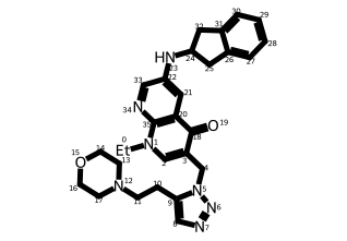 CCn1cc(Cn2nncc2CCN2CCOCC2)c(=O)c2cc(NC3Cc4ccccc4C3)cnc21